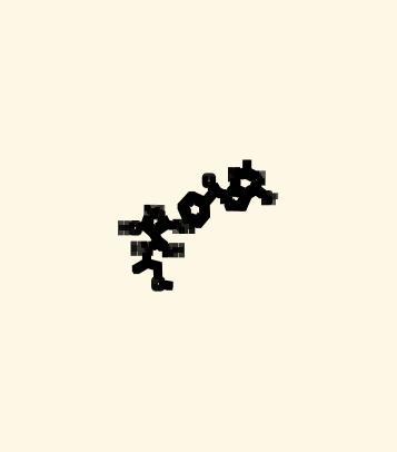 COCC(C)NC(=N)c1c(O)nsc1Nc1ccc(C(=O)n2ccc3c(Br)nc(C)nc32)cc1